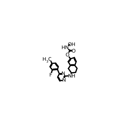 Cc1ccc(-c2ccnc(NC3CCc4ccc(OC(=O)NO)cc4C3)n2)c(F)c1